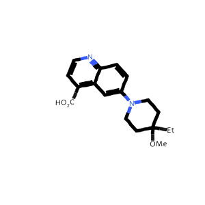 CCC1(OC)CCN(c2ccc3nccc(C(=O)O)c3c2)CC1